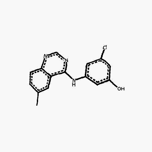 Cc1ccc2ncnc(Nc3cc(O)cc(Cl)c3)c2c1